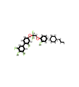 CCC[C@H]1CC[C@H](c2ccc(OCC(F)(F)Oc3ccc(-c4cc(F)c(F)c(F)c4)c(F)c3)c(F)c2)CC1